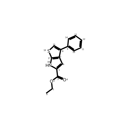 CCOC(=O)c1cc2c(-c3ccccc3)csc2[nH]1